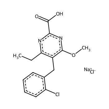 CCc1nc(C(=O)O)nc(OC)c1Cc1ccccc1Cl.[Cl-].[Na+]